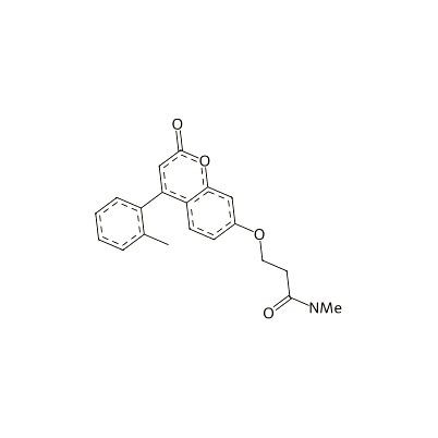 CNC(=O)CCOc1ccc2c(-c3ccccc3C)cc(=O)oc2c1